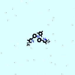 Cc1cc(C)c(N(c2cccc(-c3cc(C)c([Si](C)(C)C)cn3)c2)c2cccc(-c3cc(C)c([Si](C)(C)C)cn3)c2)c(C)c1